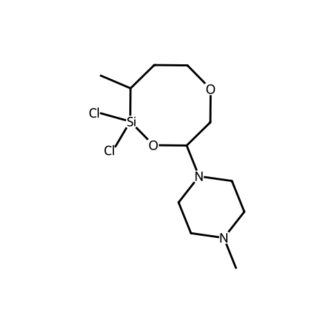 CC1CCOCC(N2CCN(C)CC2)O[Si]1(Cl)Cl